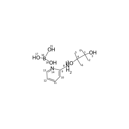 CC(C)(O)C(C)(C)O.Nc1ccccn1.OB(O)O